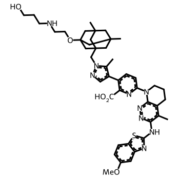 COc1ccc2sc(Nc3nnc4c(c3C)CCCN4c3ccc(-c4cnn(CC56CC7(C)CC(C)(C5)CC(OCCNCCCO)(C7)C6)c4C)c(C(=O)O)n3)nc2c1